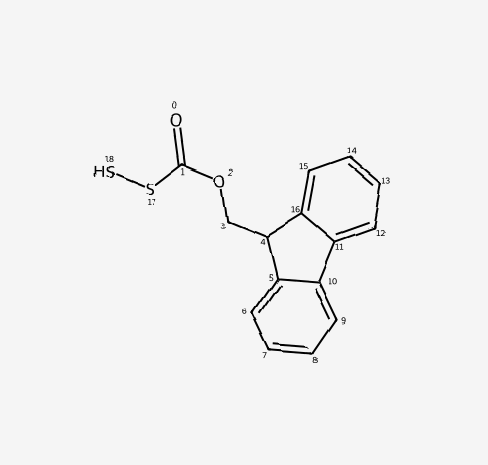 O=C(OCC1c2ccccc2-c2ccccc21)SS